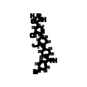 CC[C@H]1CN(c2ncc(C(=O)NN)cc2Cl)CCN1C1CCN(C(=P)c2ccc(Br)cc2)CC1